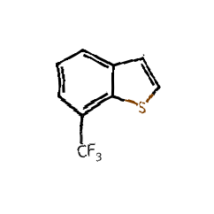 FC(F)(F)c1cccc2[c]csc12